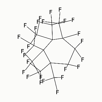 FC(F)(F)C1(F)C(F)(F)C(F)(F)C(C(F)(F)F)(C(F)(F)F)C(C(F)(F)F)(C(F)(F)F)C1(C(F)(F)F)C(F)(F)F